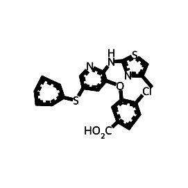 Cc1csc(Nc2ncc(Sc3ccccc3)cc2Oc2cc(C(=O)O)ccc2Cl)n1